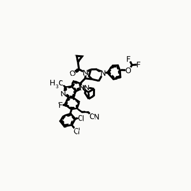 Cc1nc2c(F)c(-c3cccc(Cl)c3Cl)c(CCC#N)cc2c2c1cc(C1C3CC(CN(c4ccc(OC(F)F)cc4)C3)N1C(=O)C1CC1)n2C1C2CNC1C2